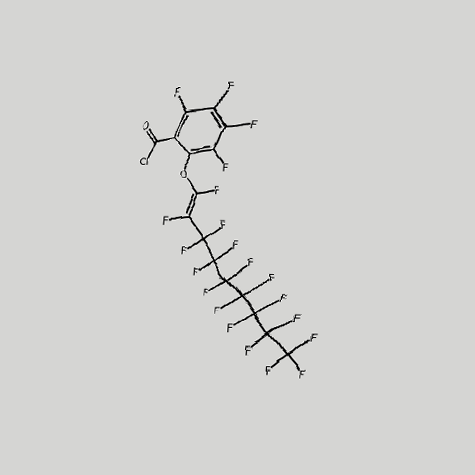 O=C(Cl)c1c(F)c(F)c(F)c(F)c1OC(F)=C(F)C(F)(F)C(F)(F)C(F)(F)C(F)(F)C(F)(F)C(F)(F)C(F)(F)F